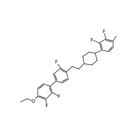 CCOc1ccc(-c2ccc(CCC3CCC(c4ccc(C)c(F)c4F)CC3)c(F)c2)c(F)c1F